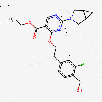 CCOC(=O)c1cnc(N2CC3CC3C2)nc1OCCc1ccc(CO)c(Cl)c1